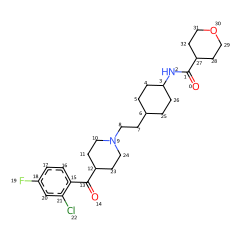 O=C(NC1CCC(CCN2CCC(C(=O)c3ccc(F)cc3Cl)CC2)CC1)C1CCOCC1